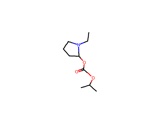 CCN1CCC[C]1OC(=O)OC(C)C